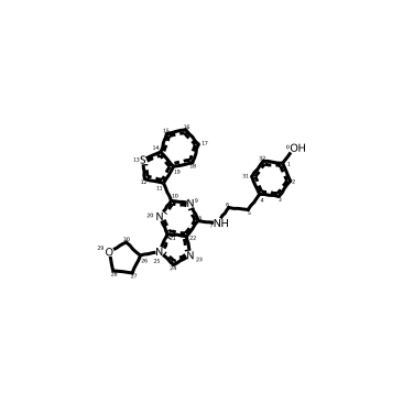 Oc1ccc(CCNc2nc(-c3csc4ccccc34)nc3c2ncn3C2CCOC2)cc1